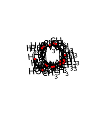 CC=CCC(C)C(O)C1C(=O)NC(CC)C(=O)N(C)CC(=O)N(C)C(CC(C)C)C(=O)NC(C(C)C)C(=O)N(C)C(CC(C)C)C(=O)NC(C)C(=O)NC(C)C(=O)N(C)C(CC(C)C)C(=O)N(C)C(CC(C)C)C(=O)N(C)C(C(C)C)C(=O)N1C.COc1cc(O)c(C(=O)C=Cc2ccccc2)c(OC)c1